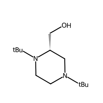 CC(C)(C)N1CCN(C(C)(C)C)[C@H](CO)C1